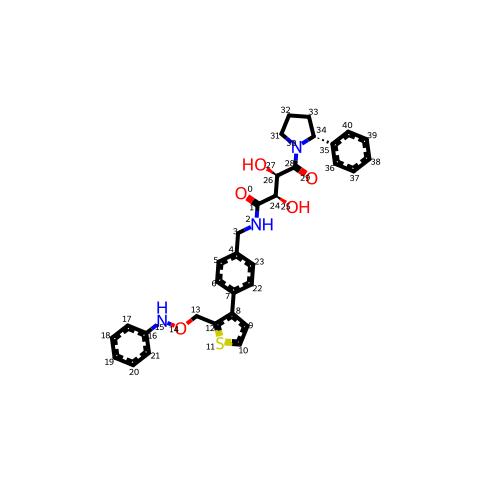 O=C(NCc1ccc(-c2ccsc2CONc2ccccc2)cc1)[C@H](O)[C@@H](O)C(=O)N1CCC[C@@H]1c1ccccc1